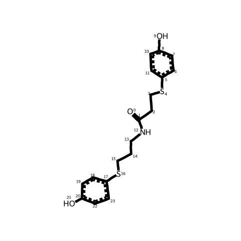 O=C(CCSc1ccc(O)cc1)NCCCSc1ccc(O)cc1